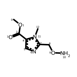 COC(=O)c1cnc(CON)n1C